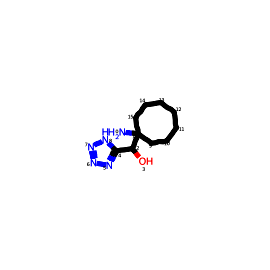 NC1(C(O)c2nnn[nH]2)CCCCCCC1